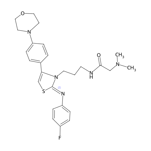 CN(C)CC(=O)NCCCn1c(-c2ccc(N3CCOCC3)cc2)cs/c1=N\c1ccc(F)cc1